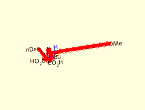 CCCCCCCCCCCCCCCCCCCC(=O)NC(CCC(=O)O)C(=O)N[C@@H](CCC(=O)O)C(=O)N[C@H](C(=O)N[C@@H](CCCCNC(=O)CCOCCOCCOCCOCCOCCOCCOCCOCCOCCOCCOCCOCCOCCOCCOCCOC)C(=O)N1CCN(C)CC1)[C@@H](C)CC